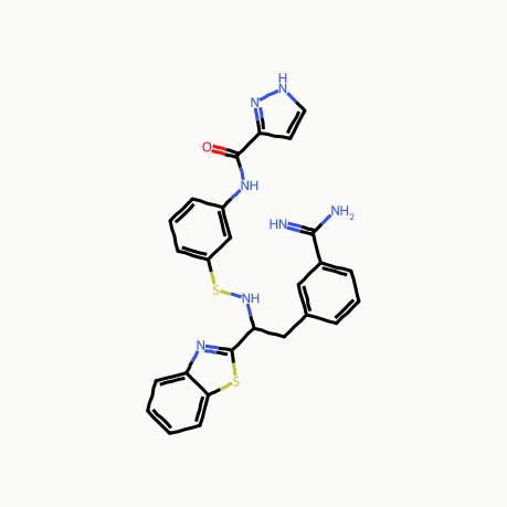 N=C(N)c1cccc(CC(NSc2cccc(NC(=O)c3cc[nH]n3)c2)c2nc3ccccc3s2)c1